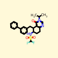 CC(C)n1cnc2c(c1=O)C(Cc1cccc(-c3ccccc3)c1)C(NS(=O)(=O)C(F)F)CC2